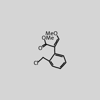 CO/C=C(\C(=O)OC)c1ccccc1CCl